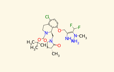 C[C@@H]1CCN(C[C@@H]2c3c(OC/C(N)=C(\C(F)F)N(C)N)ccc(Cl)c3CCN2C(=O)OC(C)(C)C)C1=O